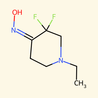 CCN1CCC(=NO)C(F)(F)C1